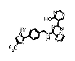 CC(C)n1cc(C(F)(F)F)nc1-c1ccc(CNc2nc(-c3cncnc3O)nn3ccnc23)cc1